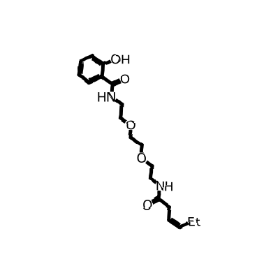 CC/C=C\CC(=O)NCCOCCOCCNC(=O)c1ccccc1O